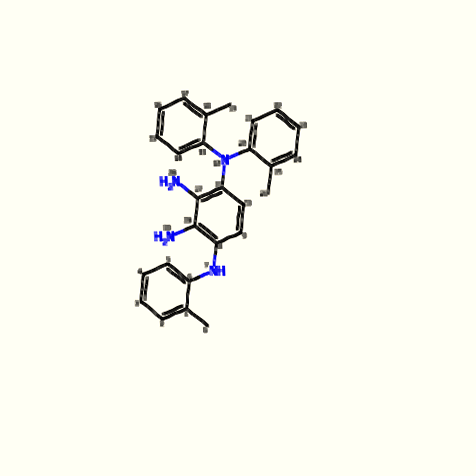 Cc1ccccc1Nc1ccc(N(c2ccccc2C)c2ccccc2C)c(N)c1N